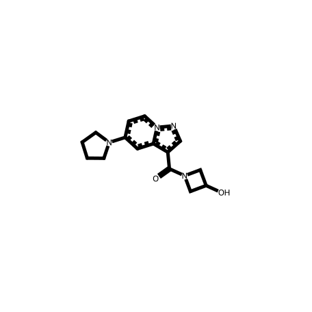 O=C(c1cnn2ccc(N3CCCC3)cc12)N1CC(O)C1